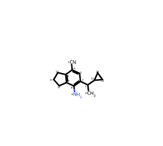 CC(c1cc(C#N)c2c(c1N)CCC2)C1CC1